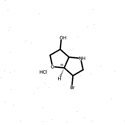 Cl.OC1CO[C@@H]2C(Br)CNC12